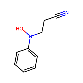 N#CCCN(O)c1ccccc1